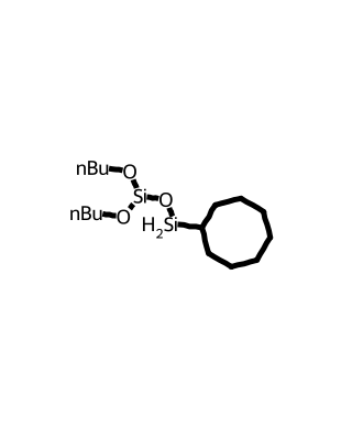 CCCCO[Si](OCCCC)O[SiH2]C1CCCCCCC1